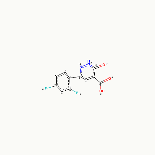 O=C(O)c1cc(-c2ccc(F)cc2F)n[nH]c1=O